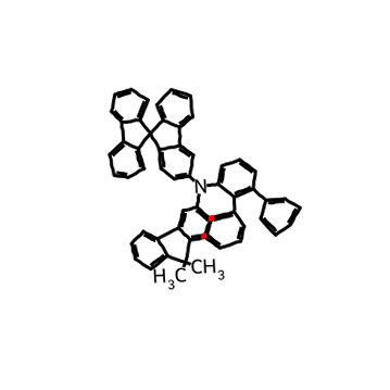 CC1(C)c2ccccc2-c2cc(N(c3ccc4c(c3)-c3ccccc3C43c4ccccc4-c4ccccc43)c3cccc(-c4ccccc4)c3-c3ccccc3)ccc21